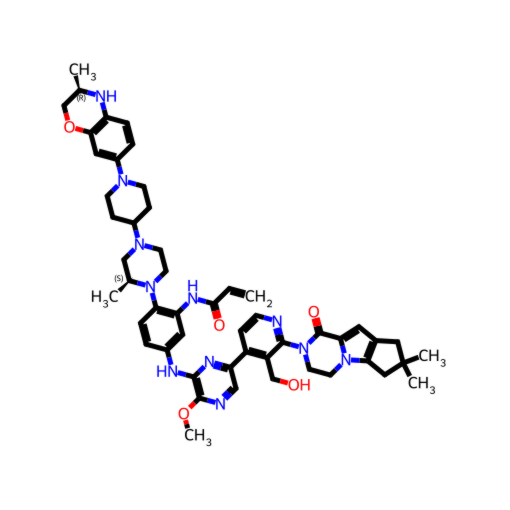 C=CC(=O)Nc1cc(Nc2nc(-c3ccnc(N4CCn5c(cc6c5CC(C)(C)C6)C4=O)c3CO)cnc2OC)ccc1N1CCN(C2CCN(c3ccc4c(c3)OC[C@@H](C)N4)CC2)C[C@@H]1C